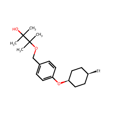 CC[C@H]1CC[C@@H](Oc2ccc(COC(C)(C)C(C)(C)O)cc2)CC1